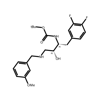 COc1cccc(CNC[C@@H](O)[C@@H](Cc2ccc(F)c(F)c2)NC(=O)OC(C)(C)C)c1